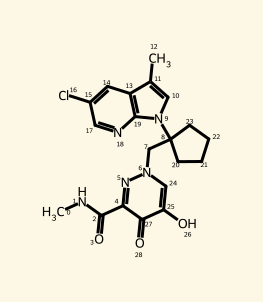 CNC(=O)c1nn(CC2(n3cc(C)c4cc(Cl)cnc43)CCCC2)cc(O)c1=O